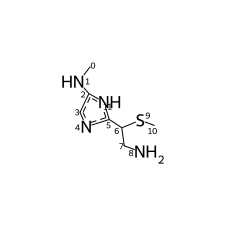 CNc1cnc(C(CN)SC)[nH]1